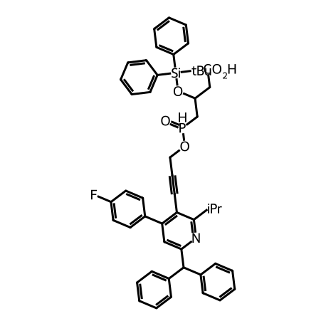 CC(C)c1nc(C(c2ccccc2)c2ccccc2)cc(-c2ccc(F)cc2)c1C#CCO[PH](=O)CC(CC(=O)O)O[Si](c1ccccc1)(c1ccccc1)C(C)(C)C